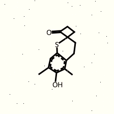 Cc1cc2c(c(C)c1O)CCC1(CCC1=O)S2